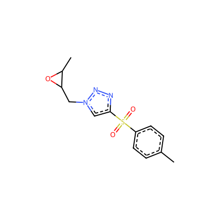 Cc1ccc(S(=O)(=O)c2cn(CC3OC3C)nn2)cc1